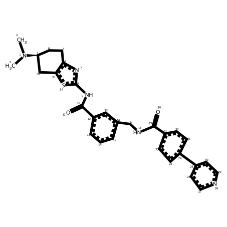 CN(C)[C@H]1CCc2nc(NC(=O)c3cccc(CNC(=O)c4ccc(-c5ccncc5)cc4)c3)sc2C1